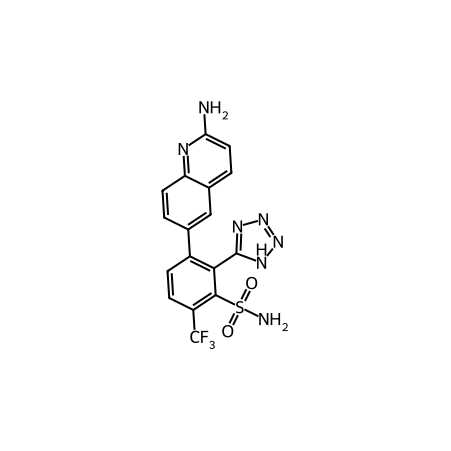 Nc1ccc2cc(-c3ccc(C(F)(F)F)c(S(N)(=O)=O)c3-c3nnn[nH]3)ccc2n1